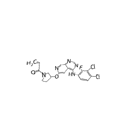 C=CC(=O)N1CCC(Oc2cc3c(Nc4ccc(Cl)c(Cl)c4F)ncnc3cn2)C1